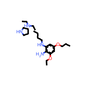 C1CCNC1.CCCCNc1cc(OCCC)cc(OCC)c1N.CCNCC